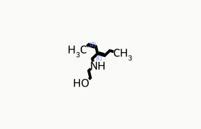 C/C=C\C(=C/CC)CNCCO